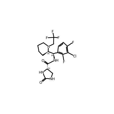 O=C1NC[C@@H](C(=O)N[C@H](c2ccc(F)c(Cl)c2F)[C@H]2CCCCN2CC(F)(F)F)N1